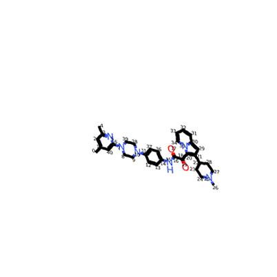 Cc1cc(C)nc(N2CCN(c3ccc(NC(=O)C(=O)c4c(C5CCN(C)CC5)cc5ccccn45)cc3)CC2)c1